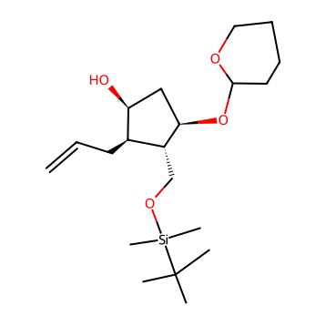 C=CC[C@@H]1[C@@H](CO[Si](C)(C)C(C)(C)C)[C@H](OC2CCCCO2)C[C@@H]1O